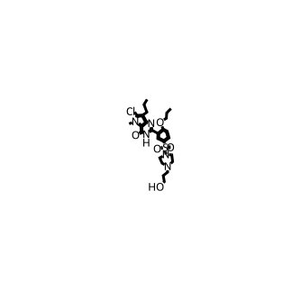 CCCOc1ccc(S(=O)(=O)N2CCN(CCCO)CC2)cc1-c1nc2c(CCC)c(Cl)n(C)c2c(=O)[nH]1